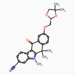 Cn1c2c(c3ccc(C#N)cc31)C(=O)c1cc(OC[C@H]3OCC(C)(C)O3)ccc1C2(C)C